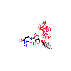 O=c1ccn([C@@H]2O[C@H](COP(=O)(O)OP(=O)(O)OP(=O)(O)O)[C@@H](O)[C@H]2O)c(=O)[nH]1.[NaH].[NaH].[NaH]